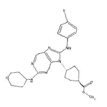 COC(=O)[C@H]1CC[C@H](n2c(Nc3ccc(F)cc3)nc3cnc(NC4CCOCC4)nc32)CC1